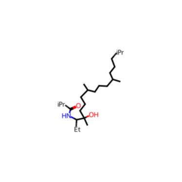 CCC(NC(=O)C(C)C)C(C)(O)CCCC(C)CCCC(C)CCCC(C)C